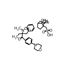 CC1(C)C2CCC1(CS(=O)(=O)O)C(=O)C2.CCC(Cc1ccccc1)(C(=O)c1ccc(N2CCOCC2)cc1)N(C)C